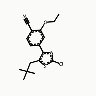 CCOc1cc(-c2nc(Cl)sc2CC(C)(C)C)ccc1C#N